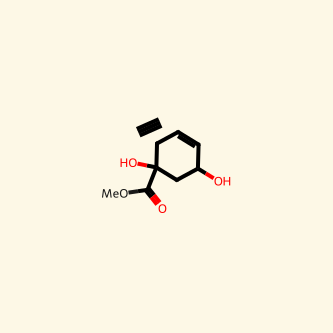 C#C.COC(=O)C1(O)CC=CC(O)C1